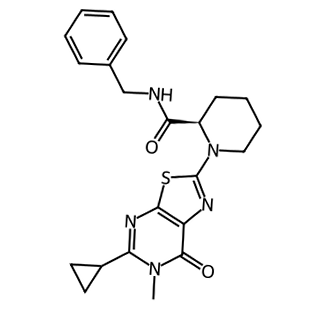 Cn1c(C2CC2)nc2sc(N3CCCC[C@@H]3C(=O)NCc3ccccc3)nc2c1=O